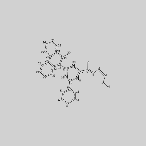 CC/C=C\C=C(/C)c1nc(-c2ccccc2)nc(-c2c(C)c3ccccc3c3ccccc23)n1